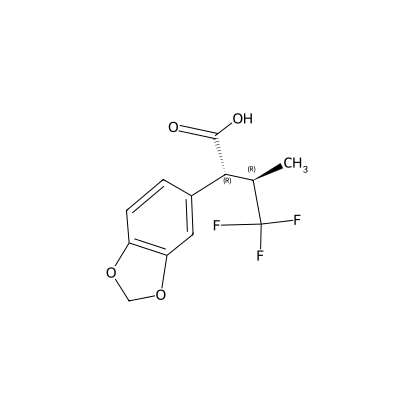 C[C@H]([C@@H](C(=O)O)c1ccc2c(c1)OCO2)C(F)(F)F